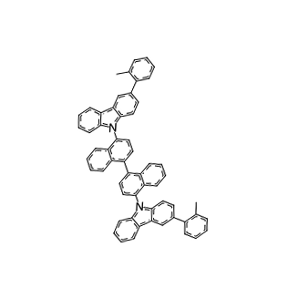 Cc1ccccc1-c1ccc2c(c1)c1ccccc1n2-c1ccc(-c2ccc(-n3c4ccccc4c4cc(-c5ccccc5C)ccc43)c3ccccc23)c2ccccc12